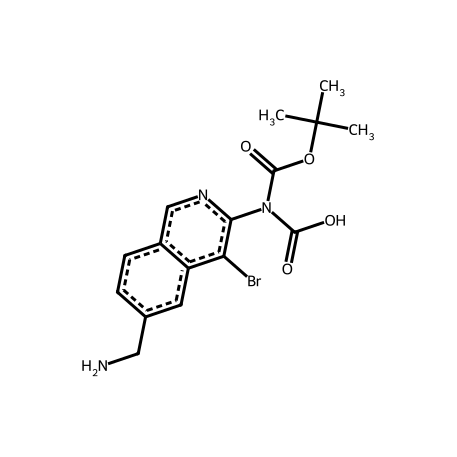 CC(C)(C)OC(=O)N(C(=O)O)c1ncc2ccc(CN)cc2c1Br